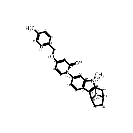 Cc1ccc(COc2ccn(-c3ccc4c5c(n(C)c4c3)CC3CCC5N3)c(=O)c2)nc1